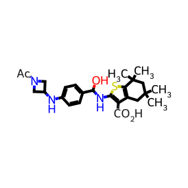 CC(=O)N1CC(Nc2ccc(C(O)Nc3sc4c(c3C(=O)O)CC(C)(C)CC4(C)C)cc2)C1